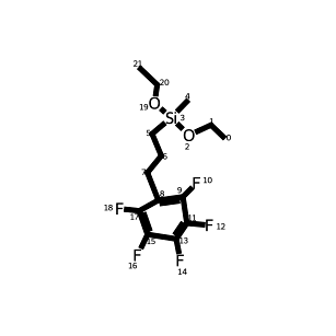 CCO[Si](C)(CCCc1c(F)c(F)c(F)c(F)c1F)OCC